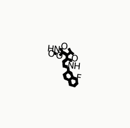 CC(C)C(=C1OC(=O)NC1=O)c1ccc(-c2ccc3cccc(F)c3c2)[nH]c1=O